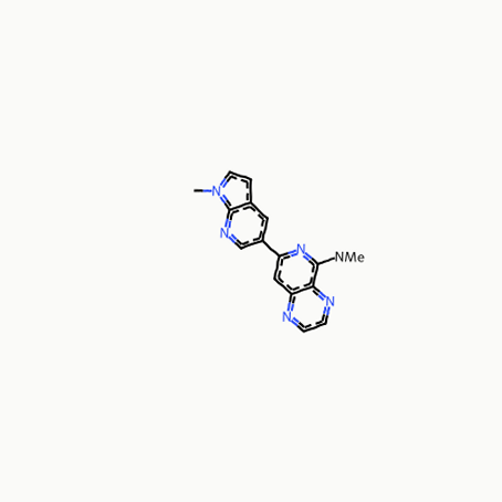 CNc1nc(-c2cnc3c(ccn3C)c2)cc2nccnc12